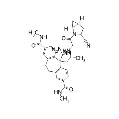 CNC(=O)c1ccc2c(c1)CCc1cc(C(=O)NC)ccc1C2(C[C@@H](C)NCC(=O)N1C(C#N)C[C@@H]2C[C@@H]21)C(=N)N